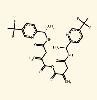 C=C(CC(=O)N[C@@H](C)c1ccc(C(F)(F)F)cn1)C(=O)OC(=O)C(=C)CC(=O)N[C@@H](C)c1ccc(C(F)(F)F)cn1